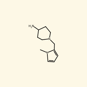 Cn1cccc1CN1CCC(N)CC1